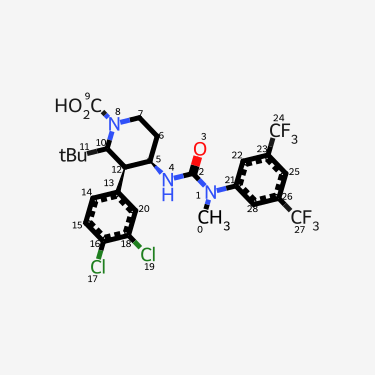 CN(C(=O)N[C@@H]1CCN(C(=O)O)C(C(C)(C)C)[C@@H]1c1ccc(Cl)c(Cl)c1)c1cc(C(F)(F)F)cc(C(F)(F)F)c1